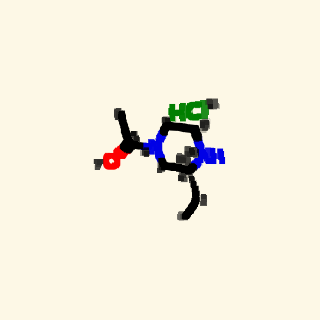 CC[C@@H]1CN(C(C)=O)CCN1.Cl